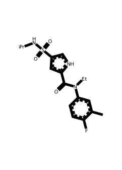 CCN(C(=O)c1cc(S(=O)(=O)NC(C)C)c[nH]1)c1ccc(F)c(C)c1